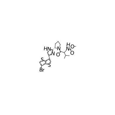 COC(=O)NC(C(=O)N1CCC[C@H]1c1nc(-c2csc3c(Br)csc23)c[nH]1)C(C)C